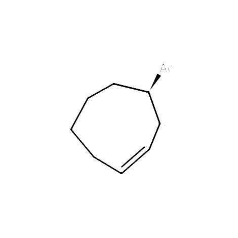 CC(=O)[C@H]1C/C=C\CCCC1